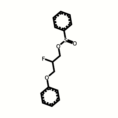 O=S(OCC(F)COc1ccccc1)c1ccccc1